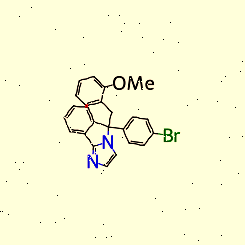 COc1ccccc1CC1(c2ccc(Br)cc2)c2ccccc2-c2nccn21